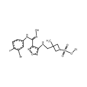 CCOS(=O)(=O)N1CC(C)(CNc2nonc2/C(=N/O)Nc2ccc(F)c(Br)c2)C1